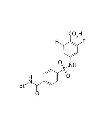 CCNC(=O)c1ccc(S(=O)(=O)Nc2cc(F)c(C(=O)O)c(F)c2)cc1